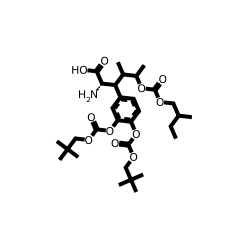 CCC(C)COC(=O)OC(C)C(C)C(c1ccc(OC(=O)OCC(C)(C)C)c(OC(=O)OCC(C)(C)C)c1)[C@H](N)C(=O)O